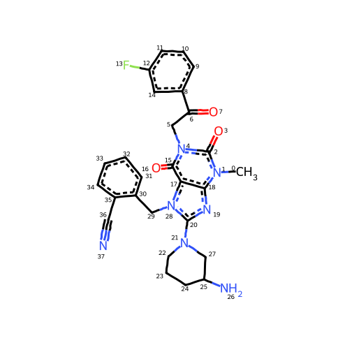 Cn1c(=O)n(CC(=O)c2cccc(F)c2)c(=O)c2c1nc(N1CCCC(N)C1)n2Cc1ccccc1C#N